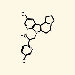 OC(Cn1c2c(c3cc(Cl)cnc31)C1CCCN1CC2)c1ccc(Cl)cn1